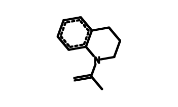 C=C(C)N1CCCc2ccccc21